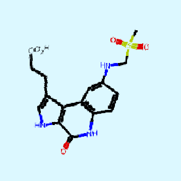 CS(=O)(=O)CNc1ccc2[nH]c(=O)c3[nH]cc(CCC(=O)O)c3c2c1